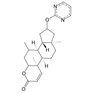 CC1CC2OC(=O)C=C[C@]2(C)[C@@H]2CC[C@]3(C)CC(Oc4ncccn4)C[C@H]3[C@H]12